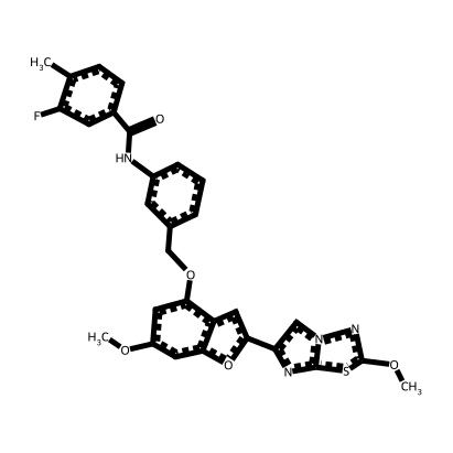 COc1cc(OCc2cccc(NC(=O)c3ccc(C)c(F)c3)c2)c2cc(-c3cn4nc(OC)sc4n3)oc2c1